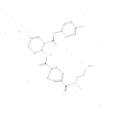 CCOCCN(C)C(=N)c1ccc(C(=O)Nc2ccc(OC)cc2C(=O)Nc2ccc(Br)cn2)cc1